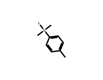 Cc1ccc([Si](C)(C)F)cc1